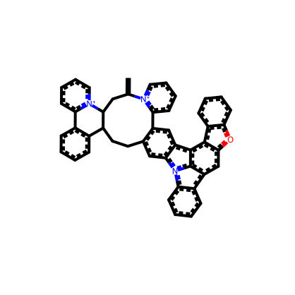 C=C1CC2C(CCc3cc4c(cc3-c3cccc[n+]31)c1c3c(cc5c6ccccc6n4c51)oc1ccccc13)c1ccccc1-c1cccc[n+]12